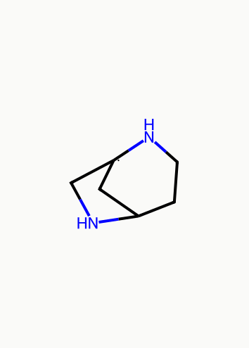 C1CC2C[C](CN2)N1